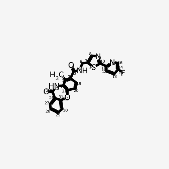 Cc1c(C(=O)NCc2cnc(-c3ccc(F)cn3)s2)ccc2c1NC(=O)c1ccccc1O2